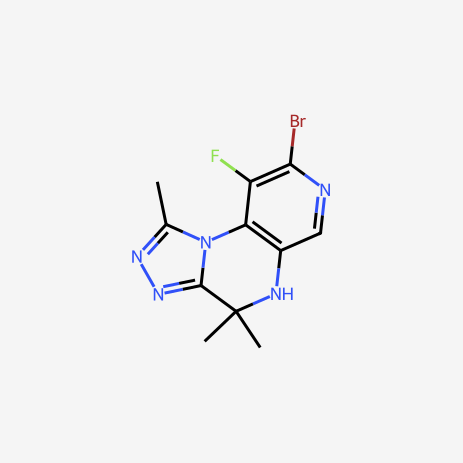 Cc1nnc2n1-c1c(cnc(Br)c1F)NC2(C)C